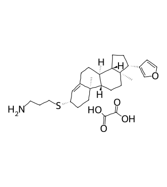 C[C@]12CC[C@H]3[C@@H](CCC4=C[C@@H](SCCCN)CC[C@@]43C)[C@@H]1CC[C@@H]2c1ccoc1.O=C(O)C(=O)O